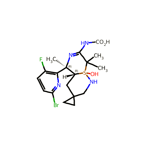 CC1(C)C(NC(=O)O)=N[C@](C)(c2nc(Br)ccc2F)[C@H]2CC3(CC3)CNS21O